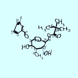 C[C@@H]1C(O)[C@H](OCc2ccccc2)OC(COC(=O)C(C)(C)C)[C@@H]1O